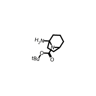 CC(C)(C)OC(=O)N1C2CCCC1(N)CC2